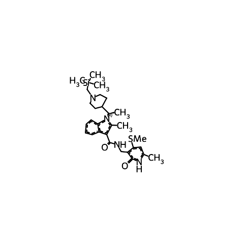 CSc1cc(C)[nH]c(=O)c1CNC(=O)c1c(C)n([C@H](C)C2CCN(C[Si](C)(C)C)CC2)c2ccccc12